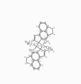 CC1=Cc2c(cc3c4c(cccc24)CC3)[C]12C(C)(C)[C]1(C(C)=Cc3c1cc1c4c(cccc34)CC1)[Zr]2([CH3])[CH3]